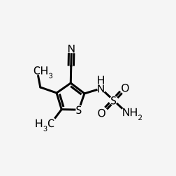 CCc1c(C)sc(NS(N)(=O)=O)c1C#N